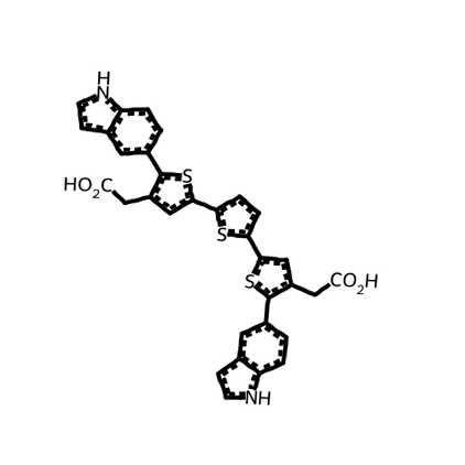 O=C(O)Cc1cc(-c2ccc(-c3cc(CC(=O)O)c(-c4ccc5[nH]ccc5c4)s3)s2)sc1-c1ccc2[nH]ccc2c1